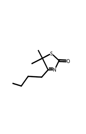 CCCCC1=NC(=O)SC1(C)C